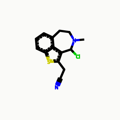 CN1CCc2cccc3sc(CC#N)c(c23)C1Cl